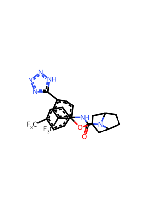 O=C(Nc1ccc(C(F)(F)F)cc1)N1C2CCC1CC(Oc1ccc(-c3nnn[nH]3)cc1C(F)(F)F)C2